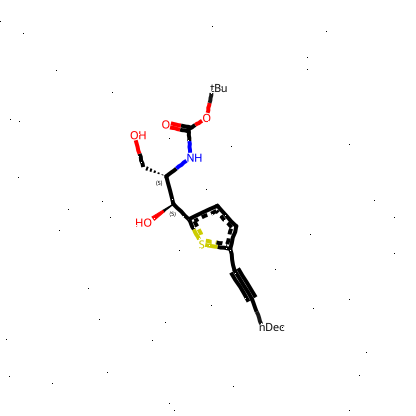 CCCCCCCCCCC#Cc1ccc([C@@H](O)[C@H](CO)NC(=O)OC(C)(C)C)s1